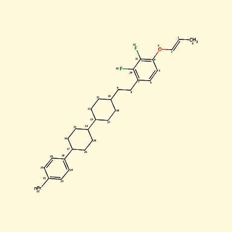 C/C=C/Oc1ccc(CCC2CCC(C3CCC(c4ccc(CCC)cc4)CC3)CC2)c(F)c1F